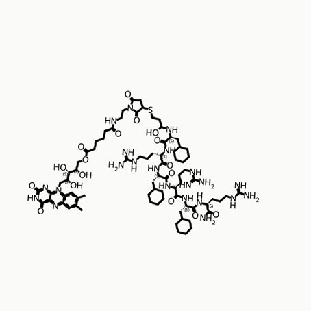 Cc1cc2nc3c(=O)[nH]c(=O)nc-3n(C[C@H](O)[C@H](O)[C@H](O)COC(=O)CCCCC(=O)NCCN3C(=O)CC(SCCC(O)N[C@@H](CC4CCCCC4)C(=O)N[C@@H](CCCNC(=N)N)C(=O)N[C@@H](CC4CCCCC4)C(=O)N[C@@H](CCCNC(=N)N)C(=O)N[C@@H](CC4CCCCC4)C(=O)N[C@@H](CCCNC(=N)N)C(N)=O)C3=O)c2cc1C